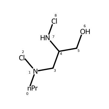 CCCN(Cl)CC(CO)NCl